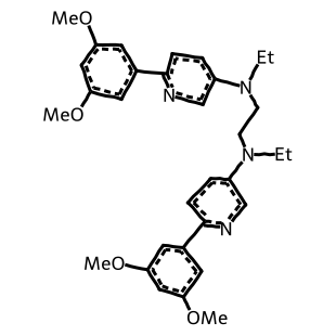 CCN(CCN(CC)c1ccc(-c2cc(OC)cc(OC)c2)nc1)c1ccc(-c2cc(OC)cc(OC)c2)nc1